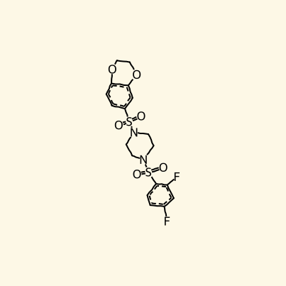 O=S(=O)(c1ccc2c(c1)OCCO2)N1CCN(S(=O)(=O)c2ccc(F)cc2F)CC1